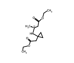 CCOC(=O)C[C@H](C)NC1(CC(=O)OCC)CC1